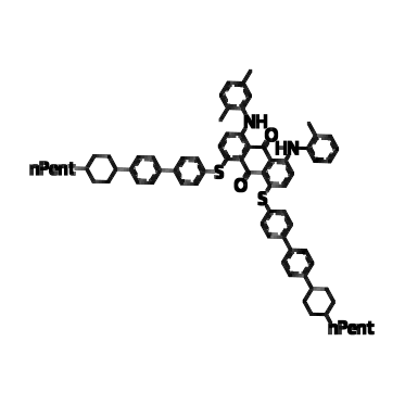 CCCCCC1CCC(c2ccc(-c3ccc(Sc4ccc(Nc5ccccc5C)c5c4C(=O)c4c(Sc6ccc(-c7ccc(C8CCC(CCCCC)CC8)cc7)cc6)ccc(Nc6cc(C)ccc6C)c4C5=O)cc3)cc2)CC1